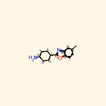 Cc1ccc2oc(C3CCC(N)CC3)nc2c1